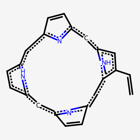 C=Cc1cc2cc3nc(cc4ccc(cc5nc(cc1[nH]2)C=C5)[nH]4)C=C3